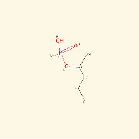 CCCC(C)OP(C)(=O)O